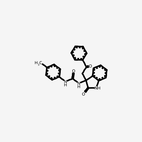 Cc1ccc(NC(=O)NC2(CC(=O)c3ccccc3)C(=O)Nc3ccccc32)cc1